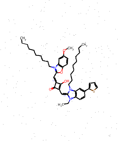 CCCCCCCCCCN1/C(=C\C2=C(O)C(=C\c3oc4ccc(OC)cc4[n+]3CCCCCCCCCC)/C2=O)N(CC)c2ccc(-c3cccs3)cc21